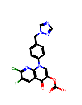 O=C(O)Oc1cn(-c2ccc(Cn3cncn3)cc2)c2nc(Cl)c(F)cc2c1=O